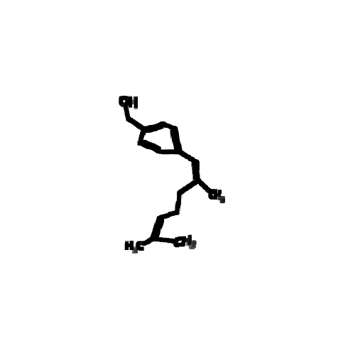 CC(C)=CCCC(C)=Cc1ccc(CO)cc1